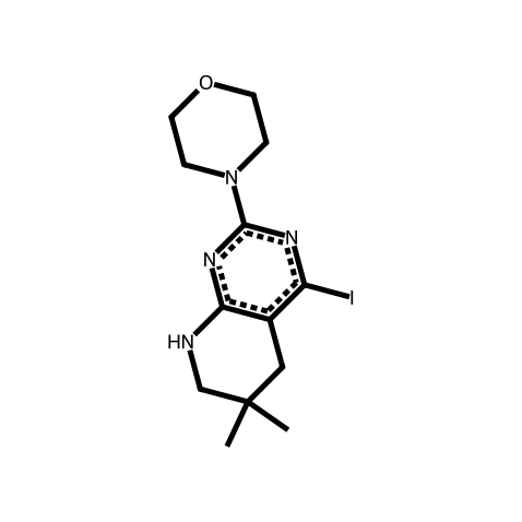 CC1(C)CNc2nc(N3CCOCC3)nc(I)c2C1